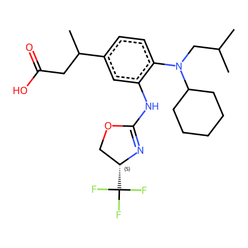 CC(C)CN(c1ccc(C(C)CC(=O)O)cc1NC1=N[C@H](C(F)(F)F)CO1)C1CCCCC1